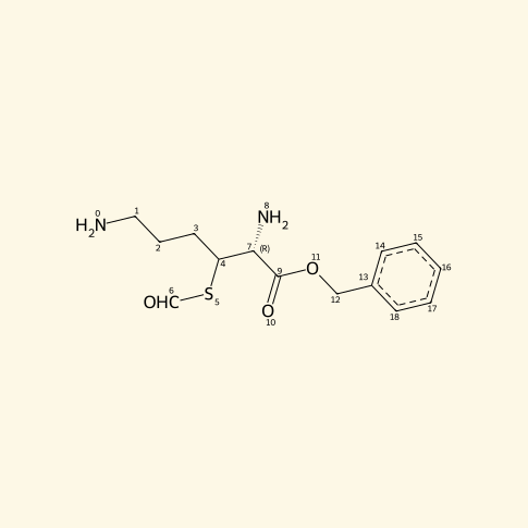 NCCCC(SC=O)[C@H](N)C(=O)OCc1ccccc1